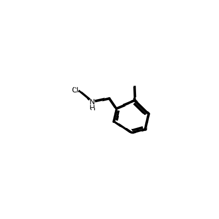 Cc1ccccc1CNCl